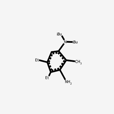 CCc1cc(N(C(C)CC)C(C)CC)c(C)c(N)c1CC